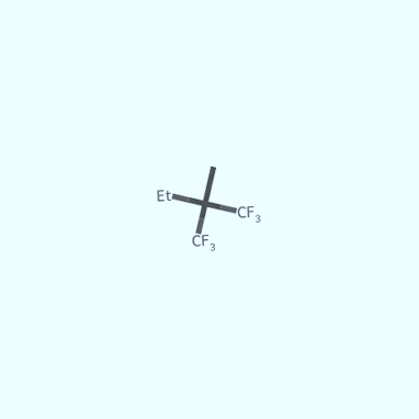 CCC(C)(C(F)(F)F)C(F)(F)F